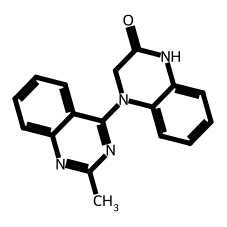 Cc1nc(N2CC(=O)Nc3ccccc32)c2ccccc2n1